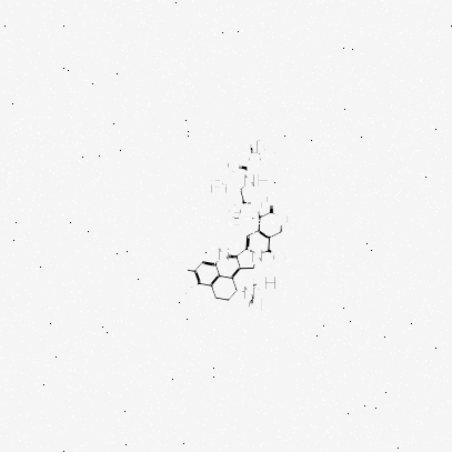 CC[C@@]1(OC(=O)[C@@H](NC(=O)OC(C)(C)C)C(C)C)C(=O)OCc2c1cc1n(c2=O)Cc2c-1nc1cc(F)c(C)c3c1c2[C@@H](N(C)C)CC3